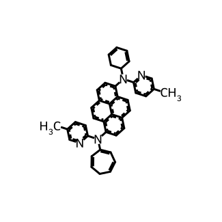 Cc1ccc(N(C2=CC=CCC=C2)c2ccc3ccc4c(N(c5ccc(C)cn5)C5C=CC=CC5)ccc5ccc2c3c54)nc1